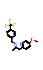 COc1ccc(CC(C)NCc2ccc(C(F)(F)F)cc2)cc1